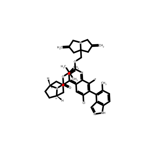 C=C1CN2CC(=C)CC2(COc2nc(N3C[C@H]4CC[C@@H](C3)N4C(=O)OC(C)(C)C)c3cc(Cl)c(-c4c(C)ccc5[nH]ncc45)c(F)c3n2)C1